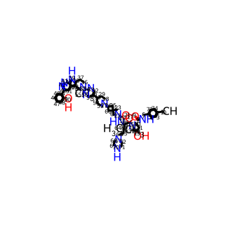 C#Cc1ccc(CNC(=O)[C@@H]2C[C@@H](O)CN2C(=O)[C@@H](NC(=O)N2CC3(CC(N4CCC(c5cnc(N6CCc7[nH]c8nnc(-c9ccccc9O)cc8c7[C@H]6C)nc5)CC4)C3)C2)C(C)(C)CCN2CCNCC2)cc1